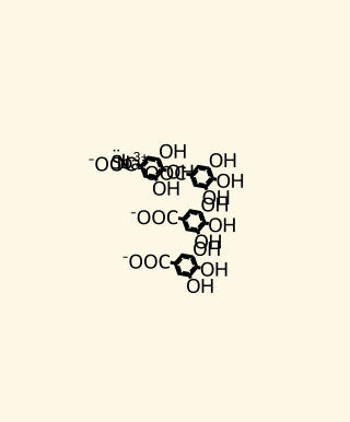 O=C([O-])c1cc(O)c(O)c(O)c1.O=C([O-])c1cc(O)c(O)c(O)c1.O=C([O-])c1cc(O)c(O)c(O)c1.O=C([O-])c1cc(O)c(O)c(O)c1.[Na+].[Sb+3]